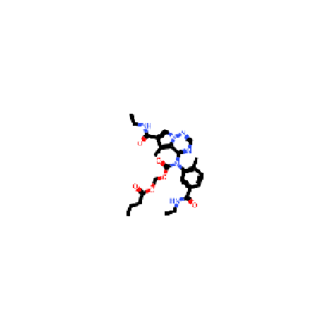 CCCC(=O)OCOC(=O)N(c1cc(C(=O)NCC)ccc1C)c1ncnn2cc(C(=O)NCC)c(C)c12